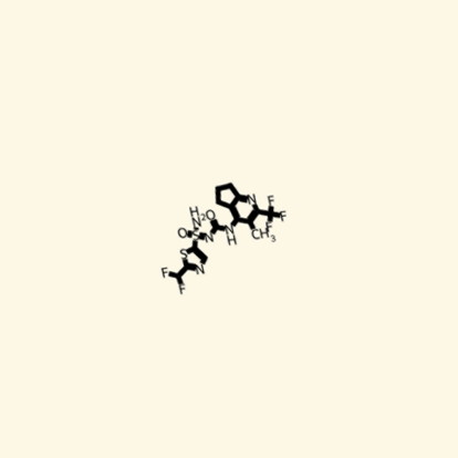 Cc1c(C(F)(F)F)nc2c(c1NC(=O)N=S(N)(=O)c1cnc(C(F)F)s1)CCC2